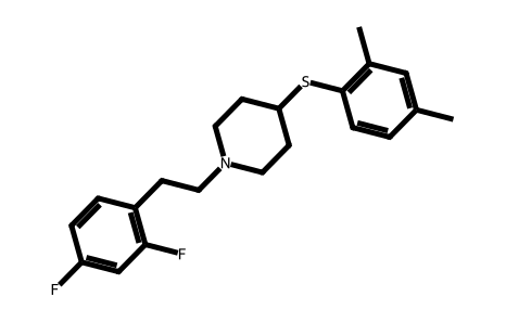 Cc1ccc(SC2CCN(CCc3ccc(F)cc3F)CC2)c(C)c1